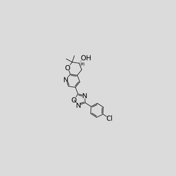 CC1(C)Oc2ncc(-c3nc(-c4ccc(Cl)cc4)no3)cc2C[C@H]1O